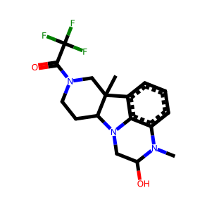 CN1c2cccc3c2N(CC1O)C1CCN(C(=O)C(F)(F)F)CC31C